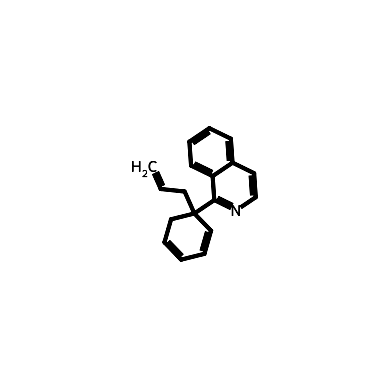 C=CCC1(c2nccc3ccccc23)C=CC=CC1